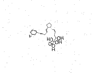 O=C(O)C(O)(O)C(O)C/C=C\C[C@H]1CCC[C@@H]1/C=C/CC#Cc1cccc(F)c1